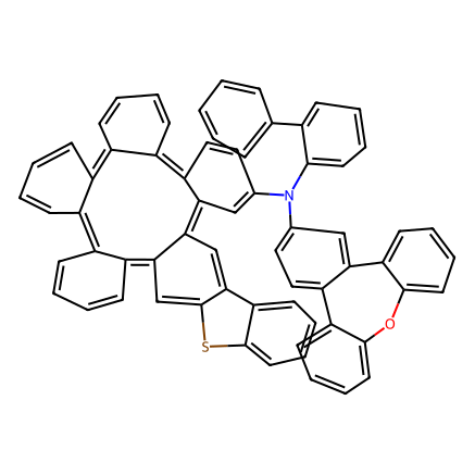 c1ccc(-c2ccccc2N(c2ccc3c(c2)-c2ccccc2Oc2ccccc2-3)c2ccc3c4ccccc4c4ccccc4c4ccccc4c4cc5sc6ccccc6c5cc4c3c2)cc1